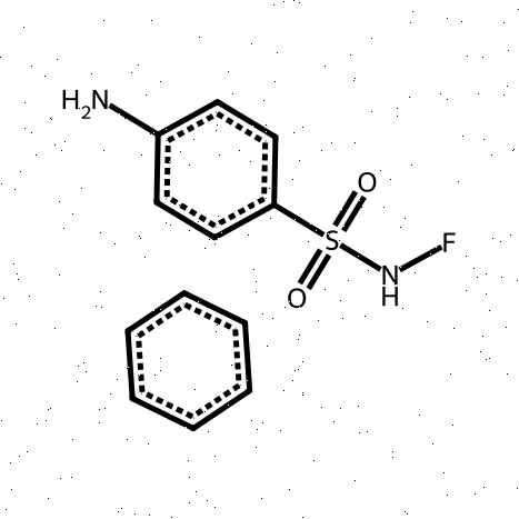 Nc1ccc(S(=O)(=O)NF)cc1.c1ccccc1